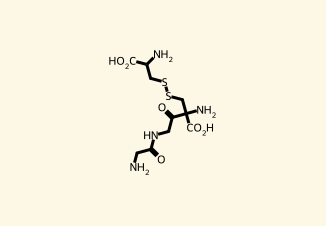 NCC(=O)NCC(=O)C(N)(CSSCC(N)C(=O)O)C(=O)O